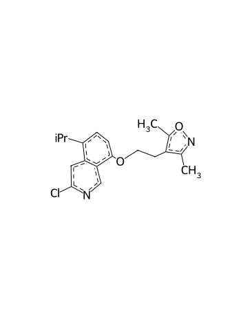 Cc1noc(C)c1CCOc1ccc(C(C)C)c2cc(Cl)ncc12